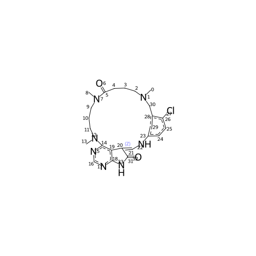 CN1CCCC(=O)N(C)CCCN(C)c2ncnc3c2/C(=C/Nc2ccc(Cl)c(c2)C1)C(=O)N3